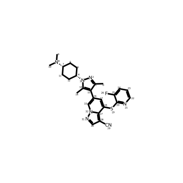 Cc1nn([C@H]2CC[C@@H](N(C)C)CC2)c(C)c1-c1cc(Sc2ncccc2F)c2c(C#N)cnn2c1